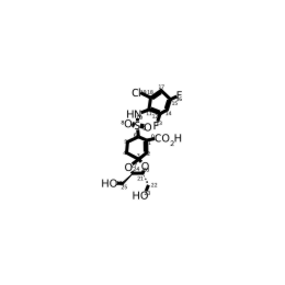 O=C(O)C1=CC2(CCC1S(=O)(=O)Nc1c(F)cc(F)cc1Cl)O[C@H](CO)[C@@H](CO)O2